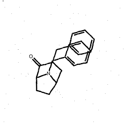 O=C1C(Cc2ccccc2)CC2CCC1N2Cc1ccccc1